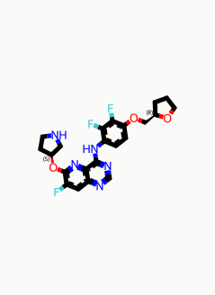 Fc1cc2ncnc(Nc3ccc(OC[C@H]4CCCO4)c(F)c3F)c2nc1O[C@H]1CCNC1